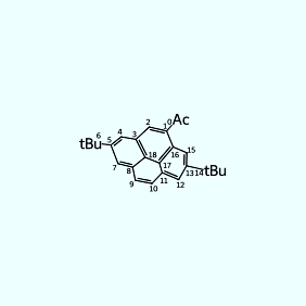 CC(=O)c1cc2cc(C(C)(C)C)cc3ccc4cc(C(C)(C)C)cc1c4c32